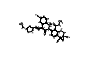 COC(=O)c1c(N(C(=O)OC)[S+]([O-])c2ccc(F)cc2/C=C\CN2CC[C@H](CO)C2)ccc2c1OC[C@@H]1C[C@H]21